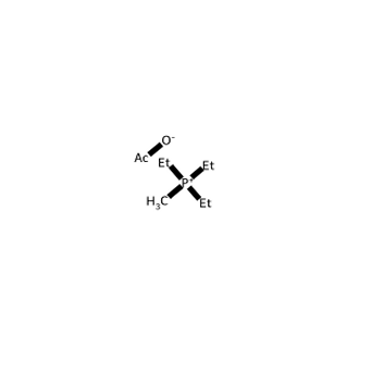 CC(=O)[O-].CC[P+](C)(CC)CC